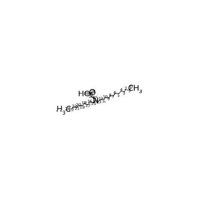 CCCCCCCCCCCCCCN(CCCCCCCCCC)CCC(=O)O